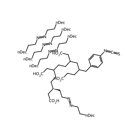 CCCCCCCCCCCCN=NCCCCCCCCCCCC.CCCCCCCCCCCCN=NCCCCCCCCCCCC.CCCCCCCCCCCCN=NCCCCCCCCCCCC.CCCCCCCCCCCCN=NCC[C@H](CCC(CCC(CC(=O)O)CC(CCC(=O)O)Cc1ccc(N=C=S)cc1)CC(=O)O)CC(=O)O